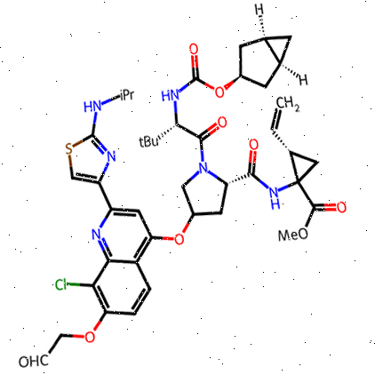 C=C[C@@H]1CC1(NC(=O)[C@@H]1CC(Oc2cc(-c3csc(NC(C)C)n3)nc3c(Cl)c(OCC=O)ccc23)CN1C(=O)[C@@H](NC(=O)O[C@@H]1C[C@@H]2C[C@@H]2C1)C(C)(C)C)C(=O)OC